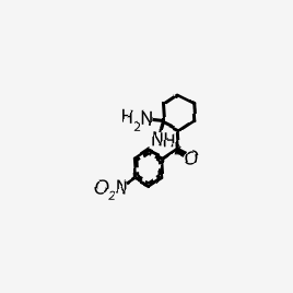 NC1(N)CCCCC1C(=O)c1ccc([N+](=O)[O-])cc1